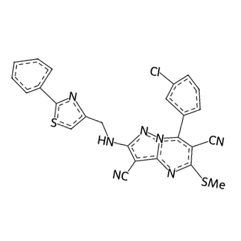 CSc1nc2c(C#N)c(NCc3csc(-c4ccccc4)n3)nn2c(-c2cccc(Cl)c2)c1C#N